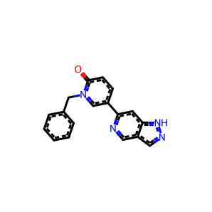 O=c1ccc(-c2cc3[nH]ncc3cn2)cn1Cc1ccccc1